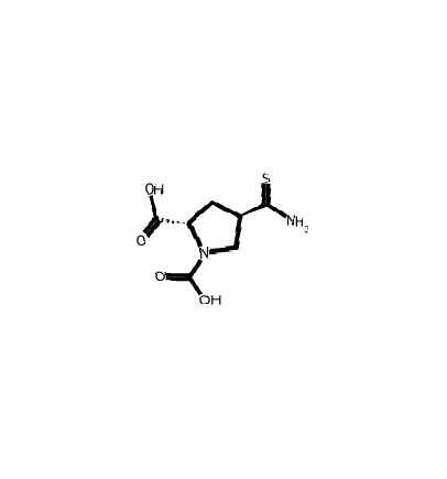 NC(=S)[C@@H]1C[C@@H](C(=O)O)N(C(=O)O)C1